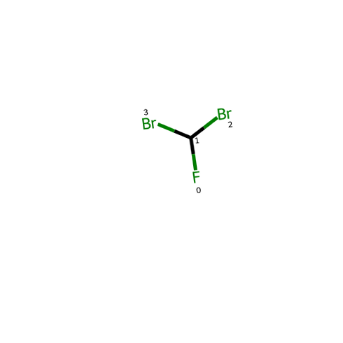 FC(Br)Br